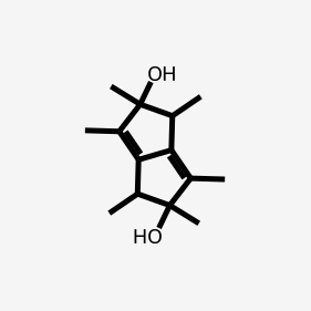 CC1=C2C(=C(C)C(C)(O)C2C)C(C)C1(C)O